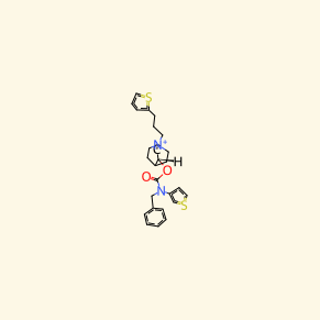 O=C(O[C@H]1C[N+]2(CCCc3cccs3)CCC1CC2)N(Cc1ccccc1)c1ccsc1